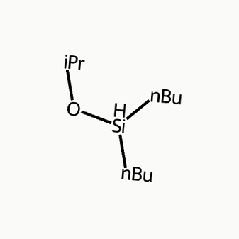 CCCC[SiH](CCCC)OC(C)C